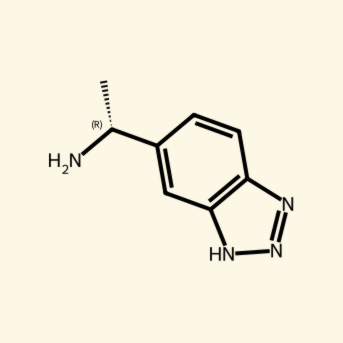 C[C@@H](N)c1ccc2nn[nH]c2c1